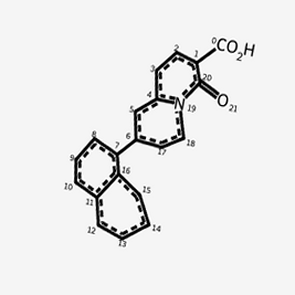 O=C(O)c1ccc2cc(-c3cccc4ccccc34)ccn2c1=O